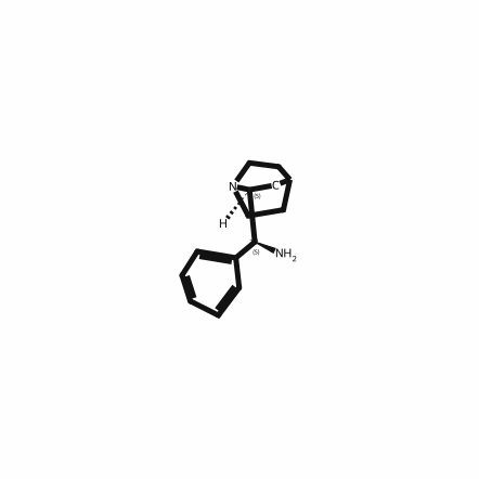 N[C@@H](c1ccccc1)[C@@H]1CC2CCN1CC2